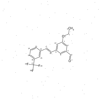 CCOc1cc(C=O)cc(/C=C/c2cccc(C(F)(F)F)c2)c1